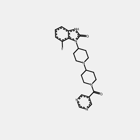 O=C(c1cncnc1)N1CCC(N2CCC(n3c(=O)[nH]c4cccc(F)c43)CC2)CC1